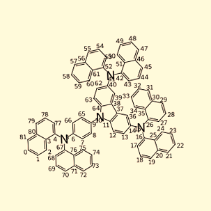 c1ccc2c(N(c3ccc(-n4c5ccc(N(c6cccc7ccccc67)c6cccc7ccccc67)cc5c5cc(N(c6cccc7ccccc67)c6cccc7ccccc67)ccc54)cc3)c3cccc4ccccc34)cccc2c1